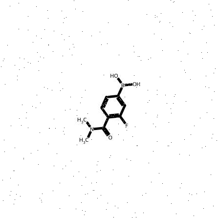 CN(C)C(=O)c1ccc(B(O)O)cc1F